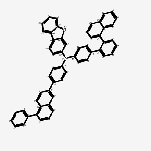 c1ccc(-c2cccc3cc(-c4ccc(N(c5ccc(-c6ccccc6-c6cccc7ccccc67)cc5)c5ccc6c(c5)oc5ccccc56)cc4)ccc23)cc1